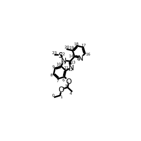 CCOC(C)Oc1cccc2c1nc(-c1ncccc1C)n2SC